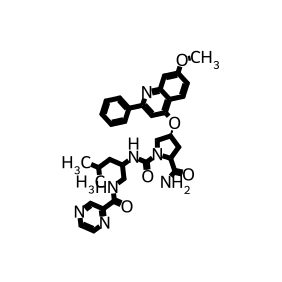 COc1ccc2c(O[C@@H]3CC(C(N)=O)N(C(=O)NC(CNC(=O)c4cnccn4)CC(C)C)C3)cc(-c3ccccc3)nc2c1